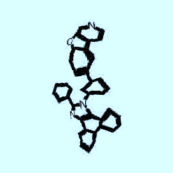 c1ccc(-c2nc3c4ccccc4c4ccccc4c3n2-c2cccc(-c3ccc4oc5cnccc5c4c3)c2)cc1